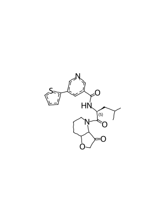 CC(C)C[C@H](NC(=O)c1cncc(-c2cccs2)c1)C(=O)N1CCCC2OCC(=O)C21